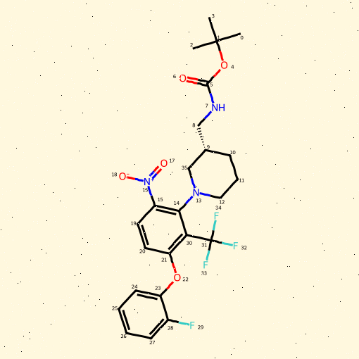 CC(C)(C)OC(=O)NC[C@@H]1CCCN(c2c([N+](=O)[O-])ccc(Oc3ccccc3F)c2C(F)(F)F)C1